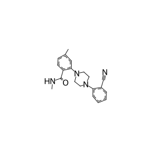 CNC(=O)c1ccc(C)cc1N1CCN(c2ccccc2C#N)CC1